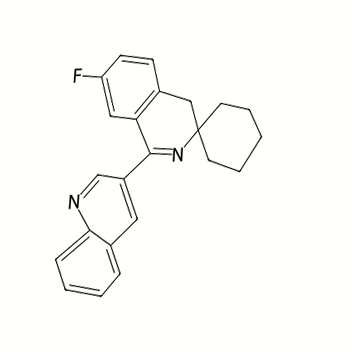 Fc1ccc2c(c1)C(c1cnc3ccccc3c1)=NC1(CCCCC1)C2